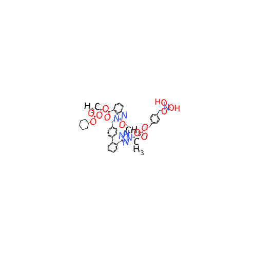 CCOc1nc2cccc(C(=O)OC(C)OC(=O)OC3CCCCC3)c2n1Cc1ccc(-c2ccccc2-c2nnn(C(C)OC(=O)OCc3ccc(CON(O)O)cc3)n2)cc1